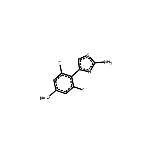 COc1cc(F)c(-c2csc(N)n2)c(F)c1